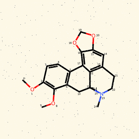 COc1ccc2c(c1OC)C[C@@H]1c3c(cc4c(c3-2)OCO4)CCN1C